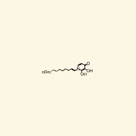 CCCCCCCCCCCCCCCCC=Cn1ccc(=O)c(O)c1O